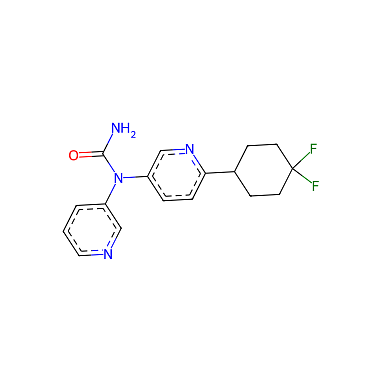 NC(=O)N(c1cccnc1)c1ccc(C2CCC(F)(F)CC2)nc1